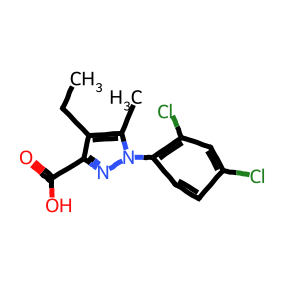 CCc1c(C(=O)O)nn(-c2ccc(Cl)cc2Cl)c1C